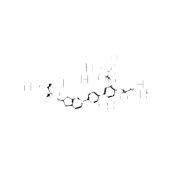 C=C(C)C(=O)OCC1Cc2ccc(-c3cc(C)c(-c4ccc(OC(=O)C(=C)C)c(OC(=O)C(=C)C)c4)cc3C)cc2C1